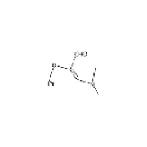 CC(C)OC(C=O)=CN(C)C